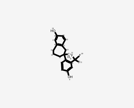 CC1(c2ccc(O)cc2C(F)(F)F)CCCc2cc(O)ccc2C1